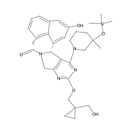 CC1(O[Si](C)(C)C)CCCN(c2nc(OCC3(CO)CC3)nc3c2[C@@H](c2cc(O)cc4cccc(I)c24)N(C=O)C3)C1